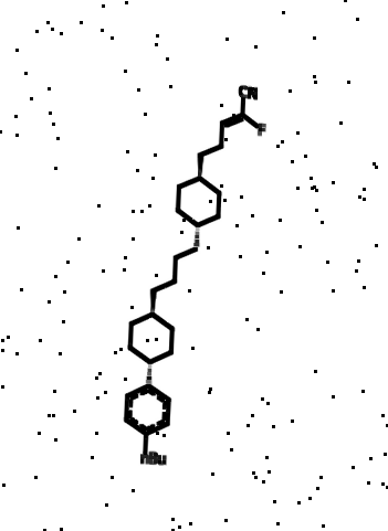 CCCCc1ccc([C@H]2CC[C@H](CCCC[C@H]3CC[C@H](CCC=C(F)C#N)CC3)CC2)cc1